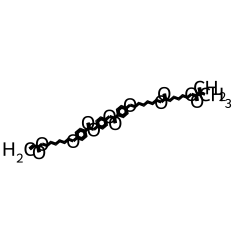 C=CC(=O)OCCCCCCOc1ccc(C(=O)Oc2ccc(OC(=O)c3ccc(OCCCCCCOC(=O)CCCCCOC(=O)C(=C)C)cc3)cc2)cc1